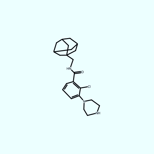 O=C(NCC12CC3CC(CC(C3)C1)C2)c1cccc(N2CCNCC2)c1Cl